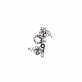 COC(=O)N[C@H](C(=O)N1C[C@@H]2C[C@H]1c1nc(c(-c3ccc(Cc4c[nH]c([C@@H]5CCCN5C(=O)[C@@H](C)C(C)C)n4)cc3)[nH]1)COCCCCO2)C(C)C